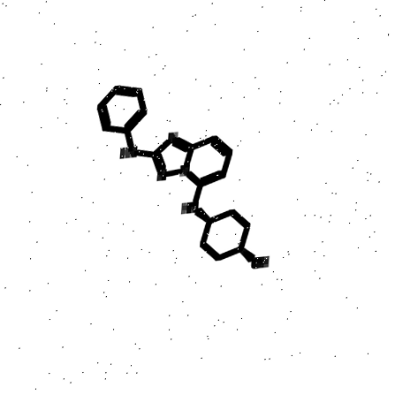 O[C@H]1CC[C@@H](Nc2cccc3nc(Nc4ccccc4)nn23)CC1